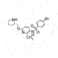 Cc1nc(OC[C@@H]2CCCN2)ccc1NS(=O)(=O)c1ccc(C(C)C)cc1